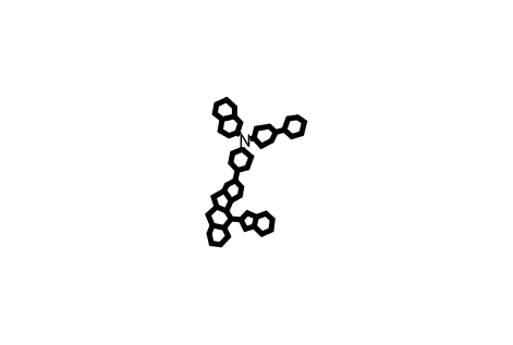 C1CCC(C2CCC(N(C3CCC(C4CCC5C(C4)CC4CC6CCCCC6C(C6CC7CCCCC7C6)C45)CC3)C3CCC4CCCCC4C3)CC2)CC1